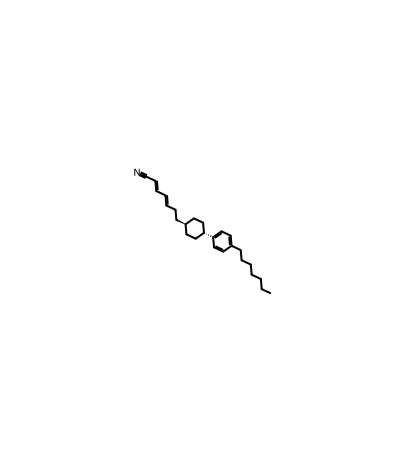 CCCCCCCc1ccc([C@H]2CC[C@H](CCC=CC=CC#N)CC2)cc1